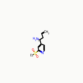 C=CC[C@H](N)c1ccnc(S(=O)(=O)CC)c1